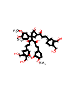 COc1ccc(/C=C/C(=O)C(C(=O)/C=C/c2ccc(CO)c(CO)c2)C2(c3ccc(OC)c(OC)c3)CC(=O)C(C(=O)/C=C/c3ccc(CO)c(CO)c3)C2)cc1OC